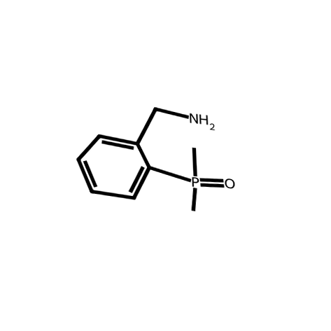 CP(C)(=O)c1ccccc1CN